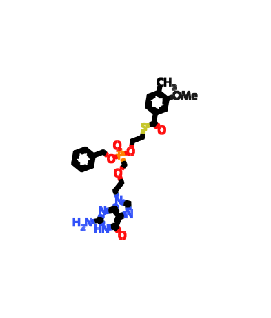 COc1cc(C(=O)SCCOP(=O)(COCCn2cnc3c(=O)[nH]c(N)nc32)OCc2ccccc2)ccc1C